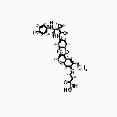 COc1cc2c(Oc3ccc(NC(=O)C4(C(=O)Nc5ccc(F)cc5)CC4)cc3F)ccnc2cc1OCCC(=O)NO